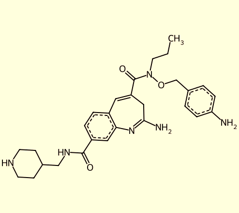 CCCN(OCc1ccc(N)cc1)C(=O)C1=Cc2ccc(C(=O)NCC3CCNCC3)cc2N=C(N)C1